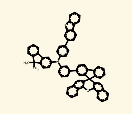 CC1(C)c2ccccc2-c2cc(N(c3ccc(-c4ccc5c(c4)oc4ccccc45)cc3)c3cccc(-c4ccc5c(c4)C4(c6ccccc6-5)c5ccc6ccccc6c5Oc5c4ccc4ccccc54)c3)ccc21